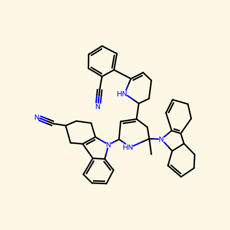 CC1(N2C3=C(CCC=C3)C3CCC=CC32)CC(C2CCC=C(c3ccccc3C#N)N2)=CC(n2c3c(c4ccccc42)CC(C#N)CC3)N1